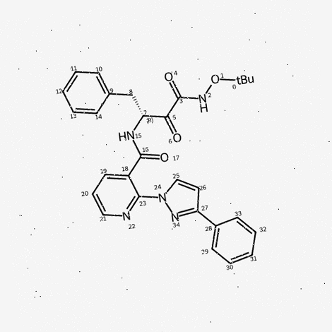 CC(C)(C)ONC(=O)C(=O)[C@@H](Cc1ccccc1)NC(=O)c1cccnc1-n1ccc(-c2ccccc2)n1